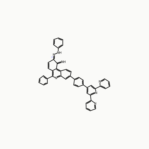 N=C1/C(=N\Nc2ccccc2)C=Cc2c(-c3ccccc3)nc3cc(-c4ccc(-c5cc(-c6ccccn6)nc(-c6ccccn6)c5)cc4)ccc3c21